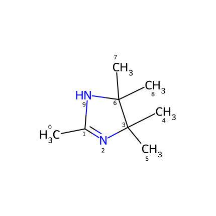 CC1=NC(C)(C)C(C)(C)N1